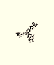 CCOC(=O)c1ccc(-c2ccc(OCCCO[Si](C)(C)C(C)(C)C)c(-c3ccc(N(CC)CC)c(CC)c3)c2)cc1